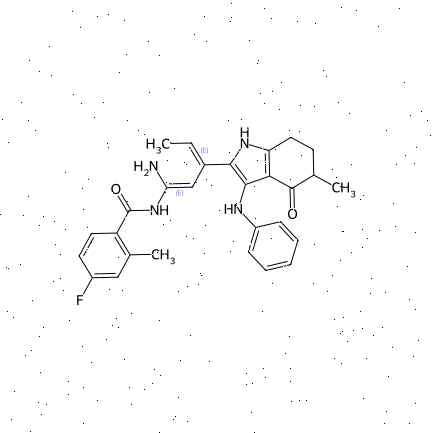 C/C=C(\C=C(/N)NC(=O)c1ccc(F)cc1C)c1[nH]c2c(c1Nc1ccccc1)C(=O)C(C)CC2